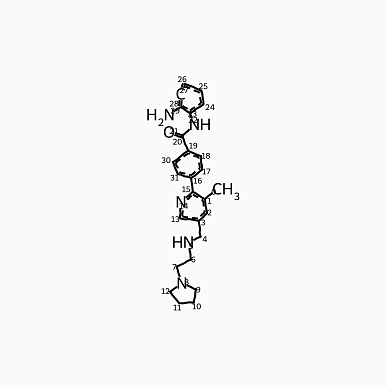 Cc1cc(CNCCN2CCCC2)cnc1-c1ccc(C(=O)Nc2ccccc2N)cc1